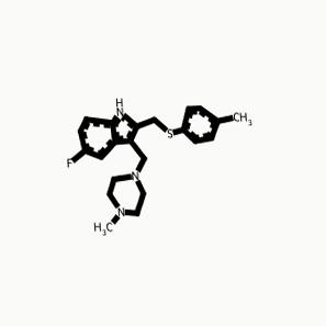 Cc1ccc(SCc2[nH]c3ccc(F)cc3c2CN2CCN(C)CC2)cc1